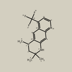 CN1CC(C)(C)Nc2cc3nccc(C(F)(F)F)c3cc21